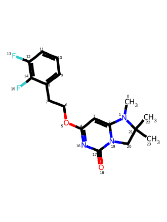 CN1c2cc(OCCc3cccc(F)c3F)nc(=O)n2CC1(C)C